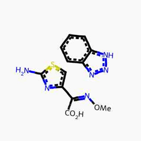 CON=C(C(=O)O)c1csc(N)n1.c1ccc2[nH]nnc2c1